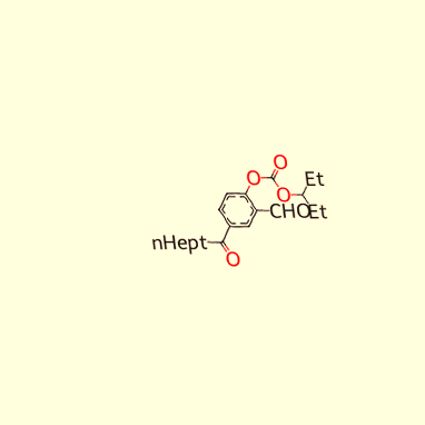 CCCCCCCC(=O)c1ccc(OC(=O)OC(CC)CC)c(C=O)c1